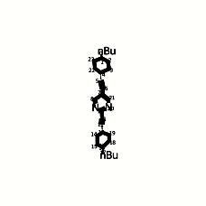 CCCC[C@H]1CC[C@H](C#Cc2cnc(C#C[C@H]3CC[C@H](CCCC)CC3)nc2)CC1